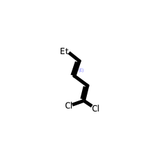 CC/C=C/C=C(Cl)Cl